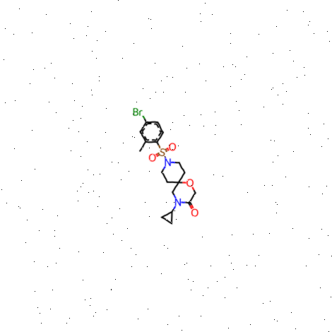 Cc1cc(Br)ccc1S(=O)(=O)N1CCC2(CC1)CN(C1CC1)C(=O)CO2